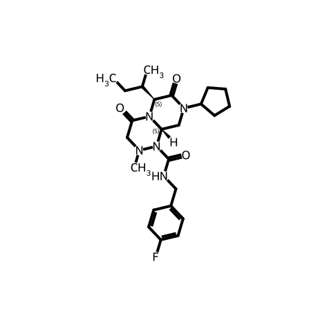 CCC(C)[C@H]1C(=O)N(C2CCCC2)C[C@H]2N1C(=O)CN(C)N2C(=O)NCc1ccc(F)cc1